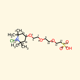 CC1(C)CC(OCCOCCOCCS(=O)(=O)O)CC(C)(C)N1Cl